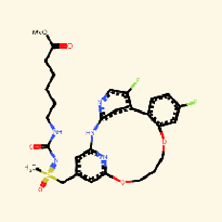 COC(=O)CCCCCNC(=O)N=S(C)(=O)Cc1cc2nc(c1)OCCCOc1cc(F)ccc1-c1cc(ncc1F)N2